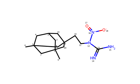 CC12CC3CC(C)(C1)CC(CCN(C(=N)N)[N+](=O)[O-])(C3)C2